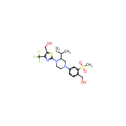 CC(C)C1CN(c2ccc(CO)c(S(C)(=O)=O)c2)CCN1c1nc(C(F)(F)F)c(CO)s1